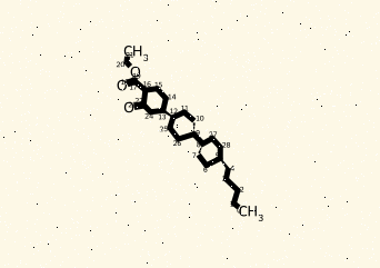 CCCCC[C@H]1CC[C@H]([C@H]2CC[C@H](C3CCC(C(=O)OCC)C(=O)C3)CC2)CC1